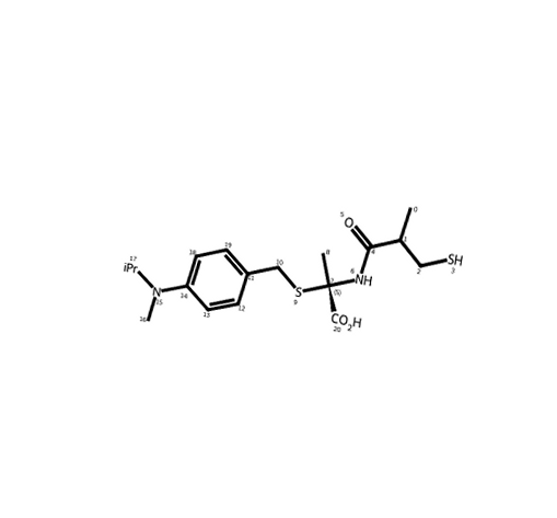 CC(CS)C(=O)N[C@@](C)(SCc1ccc(N(C)C(C)C)cc1)C(=O)O